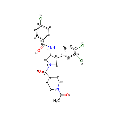 CC(=O)N1CCC(C(=O)N2CC(NC(=O)c3ccc(Cl)cc3)C(c3ccc(Cl)c(Cl)c3)C2)CC1